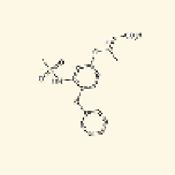 C/C(=C\C(=O)O)Oc1ccc(Oc2ccccc2)c(NS(C)(=O)=O)c1